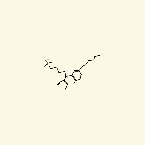 C=CC(=CC)N(CCCC[PH](C)(C)C)c1cc(CCCCCC)ccc1C